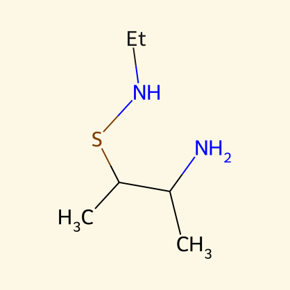 CCNSC(C)C(C)N